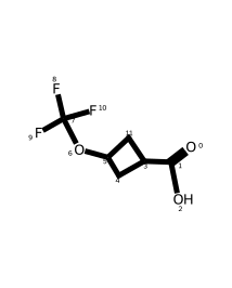 O=C(O)C1CC(OC(F)(F)F)C1